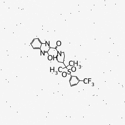 CC(C)(C1CCN(C(=O)c2nc3ccccc3nc2O)CC1)S(=O)(=O)c1cccc(C(F)(F)F)c1